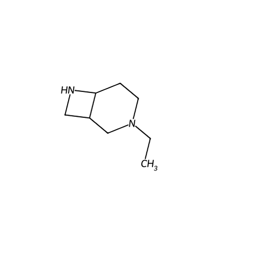 CCN1CCC2NCC2C1